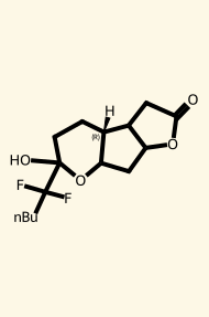 CCCCC(F)(F)C1(O)CC[C@H]2C(CC3OC(=O)CC32)O1